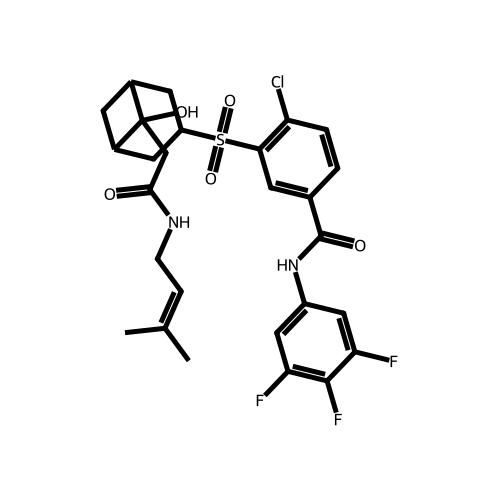 CC(C)=CCNC(=O)CC1(O)C2CC1CC(S(=O)(=O)c1cc(C(=O)Nc3cc(F)c(F)c(F)c3)ccc1Cl)C2